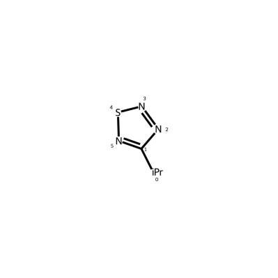 CC(C)c1nnsn1